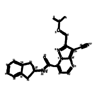 CC(C)OCc1nn2c(C(=O)NC3Cc4ccccc4C3)ccnc2c1C#N